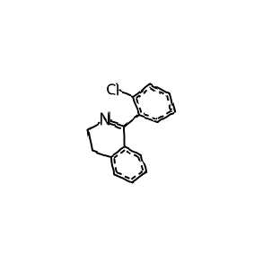 Clc1ccccc1C1=NCCc2ccccc21